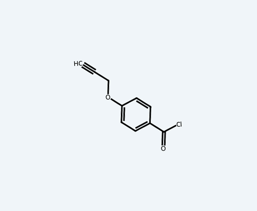 C#CCOc1ccc(C(=O)Cl)cc1